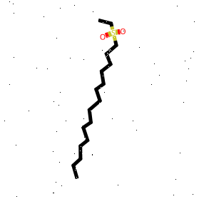 CCCCCCCCCCCCCCCS(=O)(=O)CC